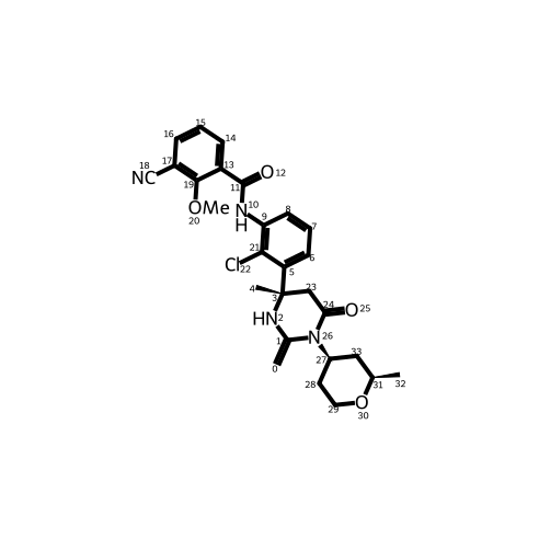 C=C1N[C@](C)(c2cccc(NC(=O)c3cccc(C#N)c3OC)c2Cl)CC(=O)N1[C@@H]1CCO[C@H](C)C1